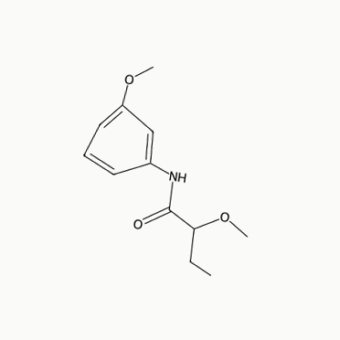 CCC(OC)C(=O)Nc1cccc(OC)c1